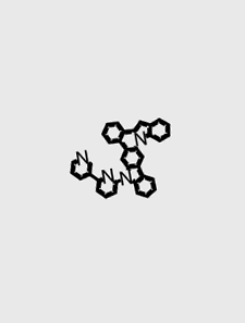 c1cncc(-c2cccc(-n3c4ccccc4c4cc5c(cc43)c3ccccc3c3cc4ccccc4n35)n2)c1